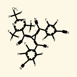 CC(F)(F)c1nc(C(F)(F)F)c(/C(C#N)=C2/C(=C(C#N)c3c(F)c(F)c(C#N)c(F)c3F)/C2=C(/C#N)c2c(F)c(F)c(C#N)c(F)c2F)c(C(F)(F)F)n1